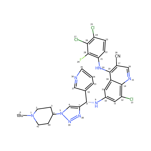 CC(C)(C)N1CCC(n2cc([C@@H](Nc3cc(Cl)c4ncc(C#N)c(Nc5ccc(Cl)c(Cl)c5F)c4c3)c3cccnc3)nn2)CC1